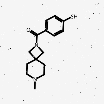 CN1CCC2(CC1)CN(C(=O)c1ccc(S)cc1)C2